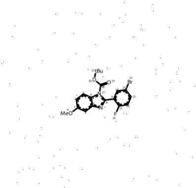 COc1ccc2c(c1)nc(-c1cc(Br)ccc1F)n2C(=O)OC(C)(C)C